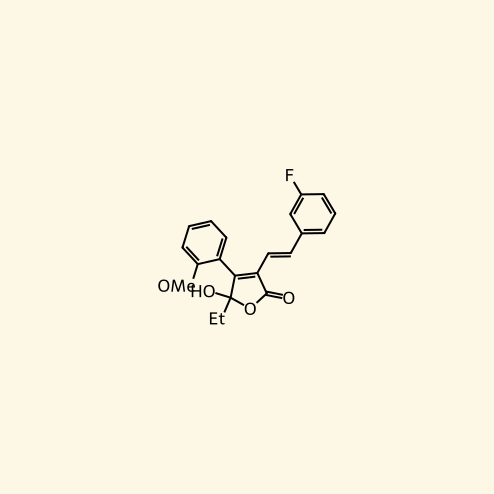 CCC1(O)OC(=O)C(C=Cc2cccc(F)c2)=C1c1ccccc1OC